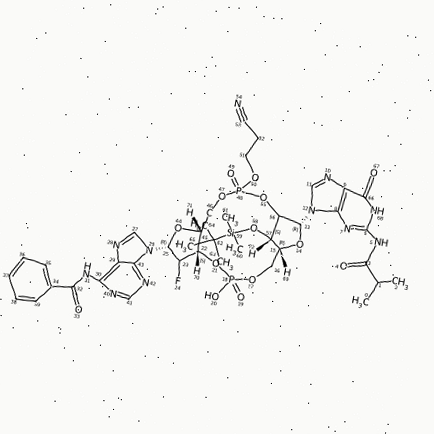 CC(C)C(=O)Nc1nc2c(ncn2[C@@H]2O[C@@H]3COP(=O)(O)O[C@@H]4C(F)[C@H](n5cnc6c(NC(=O)c7ccccc7)ncnc65)O[C@@H]4COP(=O)(OCCC#N)OC2[C@H]3O[Si](C)(C)C(C)(C)C)c(=O)[nH]1